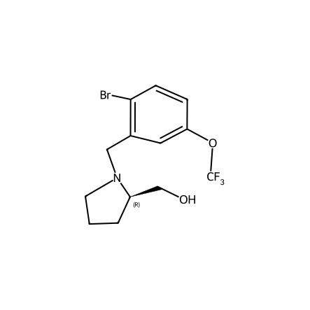 OC[C@H]1CCCN1Cc1cc(OC(F)(F)F)ccc1Br